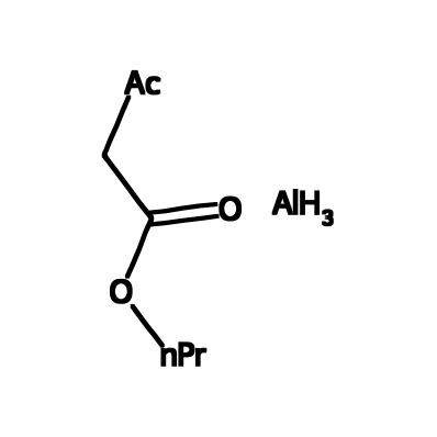 CCCOC(=O)CC(C)=O.[AlH3]